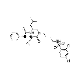 CC(C)C[C@@H](CN(CCCCNS(=O)(=O)c1ccc(Cl)cc1Cl)C(=S)NC1CC1)NC(=O)Nc1ccccc1